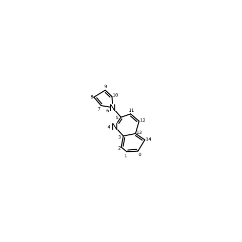 c1ccc2nc(-n3cccc3)ccc2c1